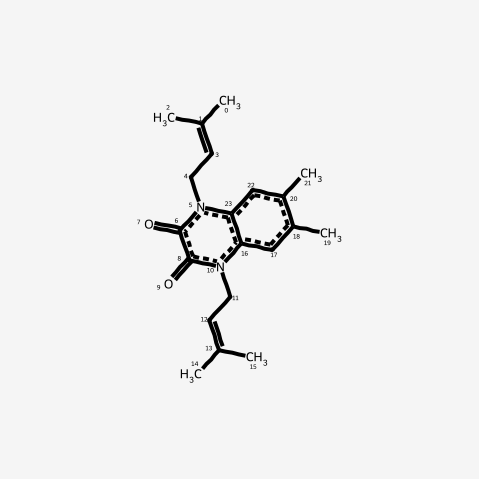 CC(C)=CCn1c(=O)c(=O)n(CC=C(C)C)c2cc(C)c(C)cc21